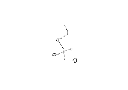 CCO[Si](Cl)(Cl)CCl